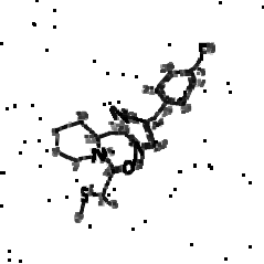 CSC(C)C(=O)N1CCCCC1c1nc(-c2ccc(F)cc2)c[nH]1